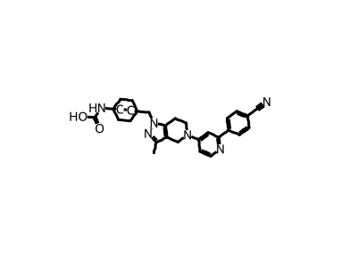 Cc1nn(CC23CCC(NC(=O)O)(CC2)CC3)c2c1CN(c1ccnc(-c3ccc(C#N)cc3)c1)CC2